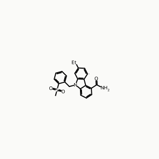 CCc1c[c]c2c3c(C(N)=O)cccc3n(Cc3ccccc3S(C)(=O)=O)c2c1